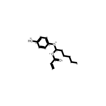 C=CC(=O)OC(CCCCC)Oc1ccc(O)cc1